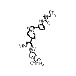 CS(=O)(=O)N1CCC(N/C=C(\C=N)c2ccn3c(-c4cccc(NC(=O)NCC(F)(F)F)c4)cnc3c2)CC1